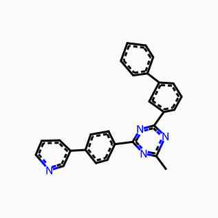 Cc1nc(-c2ccc(-c3cccnc3)cc2)nc(-c2cccc(-c3ccccc3)c2)n1